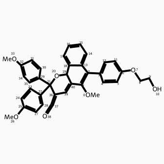 COC1=C(c2ccc(OCCO)cc2)c2ccccc2C2OC(c3ccc(OC)cc3)(c3ccc(OC)cc3)C(=C=O)C=C12